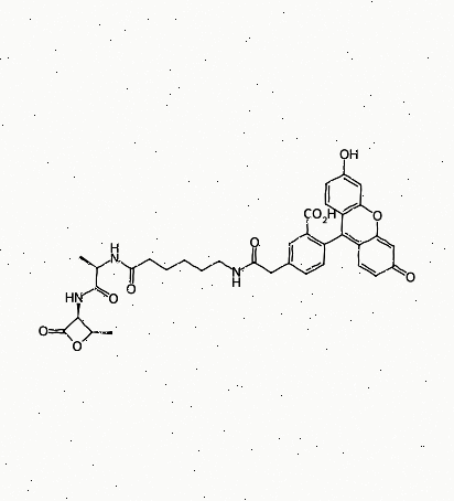 C[C@@H](NC(=O)CCCCCNC(=O)Cc1ccc(-c2c3ccc(=O)cc-3oc3cc(O)ccc23)c(C(=O)O)c1)C(=O)N[C@@H]1C(=O)O[C@@H]1C